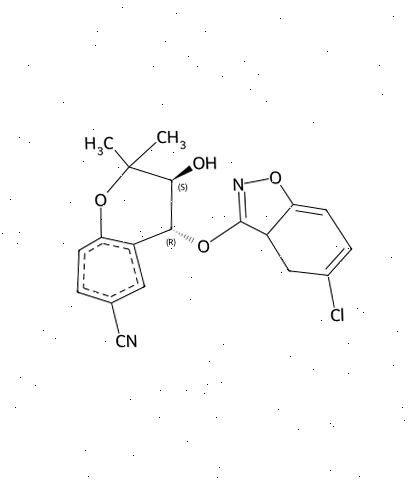 CC1(C)Oc2ccc(C#N)cc2[C@@H](OC2=NOC3=CC=C(Cl)CC32)[C@@H]1O